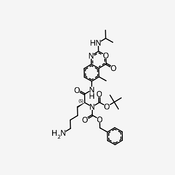 Cc1c(NC(=O)[C@H](CCCCN)N(C(=O)OCc2ccccc2)C(=O)OC(C)(C)C)ccc2nc(NC(C)C)oc(=O)c12